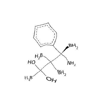 BC(O)(O)C(B)(B)[C@@](B)(N)c1ccccc1